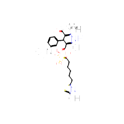 COC(=O)C1=C(C)NC(C)=C(C(=O)OC(CCCCCc2nc(C)cs2)=S(=O)=O)C1c1cccc([N+](=O)[O-])c1